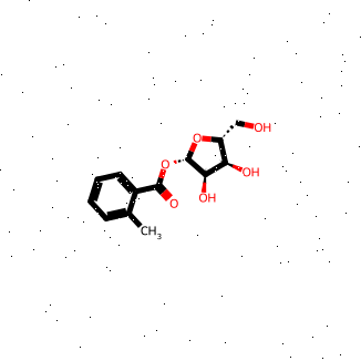 Cc1ccccc1C(=O)O[C@@H]1O[C@H](CO)[C@@H](O)[C@H]1O